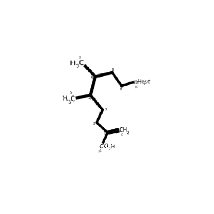 C=C(CCC(C)C(C)CCCCCCCCC)C(=O)O